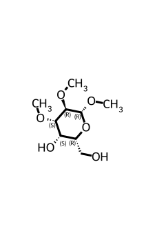 CO[C@@H]1O[C@H](CO)[C@H](O)[C@H](OC)[C@H]1OC